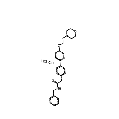 Cl.Cl.O=C(Cc1ccc(-c2ccc(OCCN3CCOCC3)cc2)cn1)NCc1ccccc1